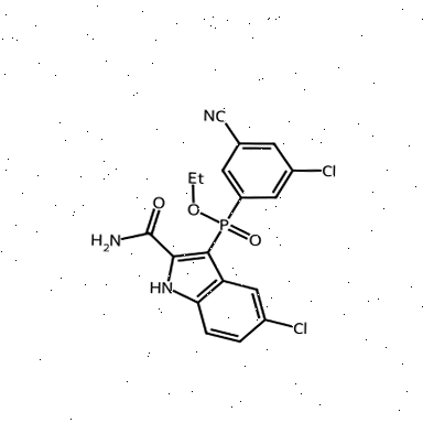 CCOP(=O)(c1cc(Cl)cc(C#N)c1)c1c(C(N)=O)[nH]c2ccc(Cl)cc12